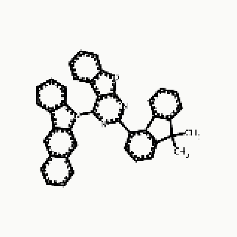 CC1(C)c2ccccc2-c2c(-c3nc(-n4c5ccccc5c5cc6ccccc6cc54)c4c(n3)oc3ccccc34)cccc21